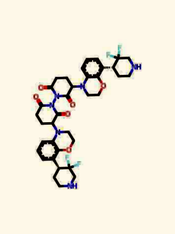 O=C1CCC(N2CCOc3c([C@H]4CCNCC4(F)F)cccc32)C(=O)N1N1C(=O)CCC(N2CCOc3c([C@@H]4CCNCC4(F)F)cccc32)C1=O